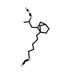 CC(CC1CC2CCC1(CCCCCN=C=O)C2)N=C=O